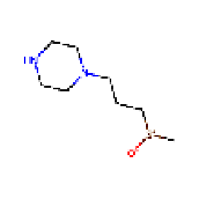 C[S+]([O-])CCCN1CCNCC1